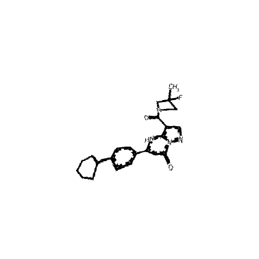 CC1(F)CN(C(=O)c2cnn3c(=O)cc(-c4ccc(C5CCCCC5)cc4)[nH]c23)C1